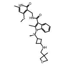 CSc1cc(C)[nH]c(=O)c1CNC(=O)c1c(C)n([C@H](C)C2CC(NCC3(C)COC3)C2)c2ccccc12